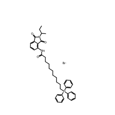 CCC(C)N1C(=O)c2cccc(NC(=O)CCCCCCCCCC[P+](c3ccccc3)(c3ccccc3)c3ccccc3)c2C1=O.[Br-]